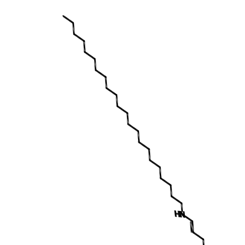 CCCCCCCCCCCCCCCCCCCCCCNC=CCN